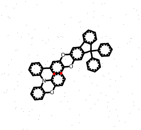 c1ccc(C2(c3ccccc3)c3ccccc3-c3cc4c(cc32)Oc2ccc(-c3ccccc3N3c5ccccc5Oc5ccccc53)cc2O4)cc1